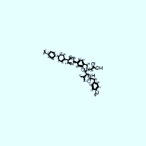 CC[C@H]1CC[C@H](C2CC=C(c3cnc(-c4ccc(CN(CC(=O)O)C(=O)[C@@H](NC(=O)Cc5ccc(OC)cc5)C(C)C)cc4)nc3)CC2)CC1